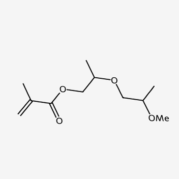 C=C(C)C(=O)OCC(C)OCC(C)OC